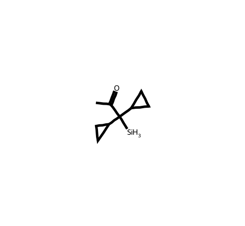 CC(=O)C([SiH3])(C1CC1)C1CC1